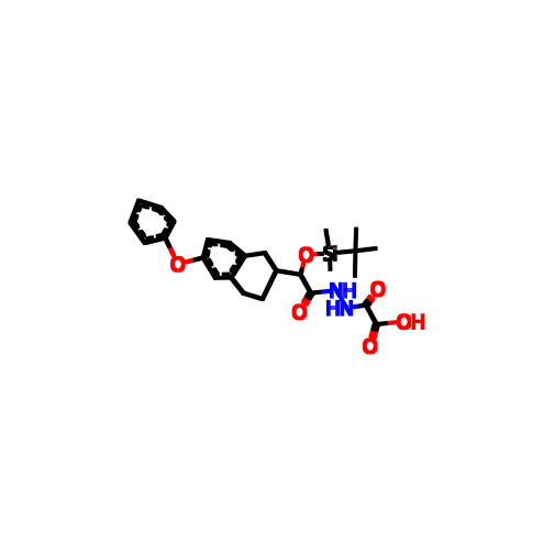 CC(C)(C)[Si](C)(C)OC(C(=O)NNC(=O)C(=O)O)C1CCc2cc(Oc3ccccc3)ccc2C1